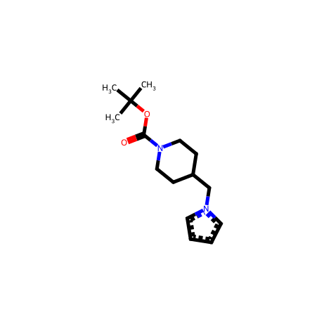 CC(C)(C)OC(=O)N1CCC(Cn2cccc2)CC1